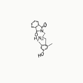 Cc1cc(O)cc(C)c1C[C@H](N)CN1C(=O)c2ccccc2C1=O